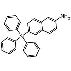 Nc1ccc2cc([Si](c3ccccc3)(c3ccccc3)c3ccccc3)ccc2c1